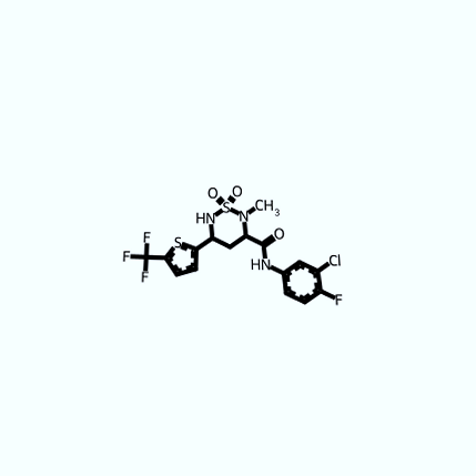 CN1C(C(=O)Nc2ccc(F)c(Cl)c2)CC(c2ccc(C(F)(F)F)s2)NS1(=O)=O